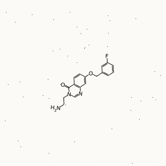 NCCn1cnc2cc(OCc3cccc(F)c3)ccc2c1=O